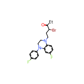 CCC(=O)C(Br)CCN1CCN(c2ccc(F)cc2)c2cc(F)ccc21